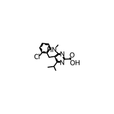 CNc1nc(C(=O)O)nc(C(C)C)c1Cc1ccccc1Cl